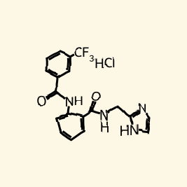 Cl.O=C(Nc1ccccc1C(=O)NCc1ncc[nH]1)c1cccc(C(F)(F)F)c1